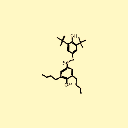 CCCCc1cc([Se]Sc2cc(C(C)(C)C)c(O)c(C(C)(C)C)c2)cc(CCCC)c1O